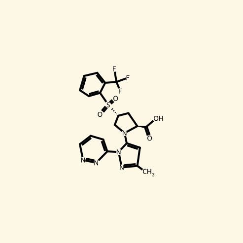 Cc1cc(N2C[C@H](S(=O)(=O)c3ccccc3C(F)(F)F)C[C@H]2C(=O)O)n(-c2cccnn2)n1